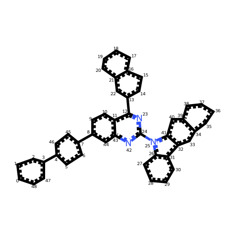 c1ccc(-c2ccc(-c3ccc4c(-c5ccc6ccccc6c5)nc(-n5c6ccccc6c6cc7ccccc7cc65)nc4c3)cc2)cc1